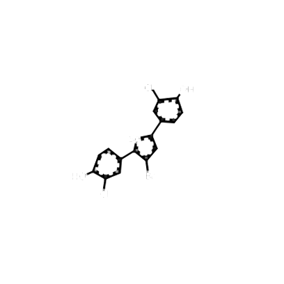 Oc1ccc(-c2cc(Br)c(-c3ccc(O)c(Cl)c3)[se]2)cc1Cl